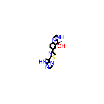 C[C@@](O)(c1cccc(-c2csc(-c3c[nH]c4nccnc34)n2)c1)c1ncc[nH]1